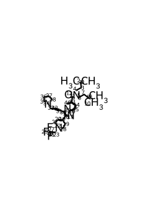 CC(C)CCN(CCC(C)C)C(=O)c1ccc2nc(C3=CCN(CC(F)(F)F)CC3)c(C#CCN3CCCC3)n2c1